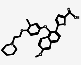 COc1ccc2c(OC3=CC(C)C(OCCN4CCCCC4)C=C3)c(-c3ccc(C(=O)O)s3)ccc2c1